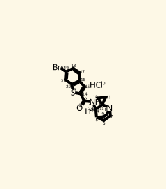 Cl.O=C(N[C@@H]1C2CCN(CC2)C12CC2)c1cc2ccc(Br)cc2s1